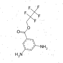 Nc1cc(N)cc(C(=O)OCC(F)(F)C(F)(F)F)c1